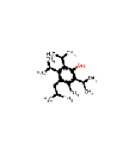 Cc1c(CC(C)C)c(C(C)C)c(C(C)C)c(O)c1C(C)C